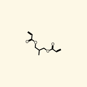 C=CC(=O)OCC(C)COC(=O)C=C